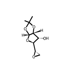 CC1(C)O[C@H]2O[C@H]([C@@H]3CO3)[C@@H](O)[C@H]2O1